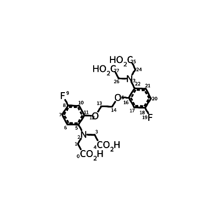 O=C(O)CN(CC(=O)O)c1ccc(F)cc1OCCOc1cc(F)ccc1N(CC(=O)O)CC(=O)O